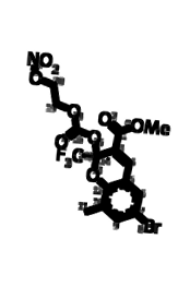 COC(=O)C1=Cc2cc(Br)cc(C)c2O[C@]1(OC(=O)OCCO[N+](=O)[O-])C(F)(F)F